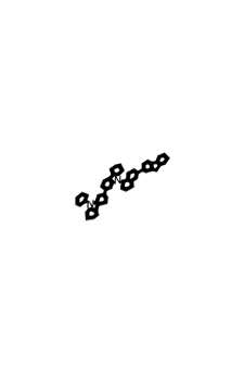 c1ccc(-n2c3ccccc3c3ccc(-c4ccc5c6ccccc6n(-c6cccc7cc(-c8ccc9c(c8)Cc8ccccc8-9)ccc67)c5c4)cc32)cc1